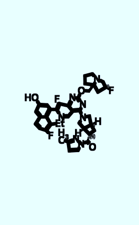 CCc1c(F)ccc2cc(O)cc(-c3ncc4c(N5C[C@H]6C[C@H](C(=O)n7ccc(C)n7)[C@H]6C5)nc(OC[C@@]56CCCN5C[C@H](F)C6)nc4c3F)c12